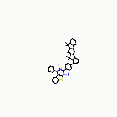 CC1(C)C2=CC3C(CC2c2cccc(-c4ccc(C5NC6=C(C7CC=CC=C7S6)C(C6=CC=CCC6)N5)cc4)c21)c1ccccc1C3(C)C